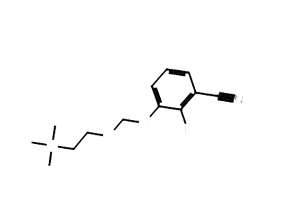 C[Si](C)(C)CCOCOc1cccc(C#N)c1F